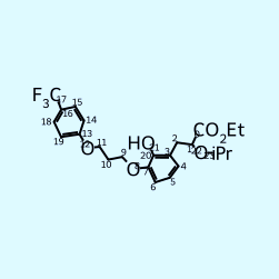 CCOC(=O)C(Cc1cccc(OCCCOc2ccc(C(F)(F)F)cc2)c1O)OC(C)C